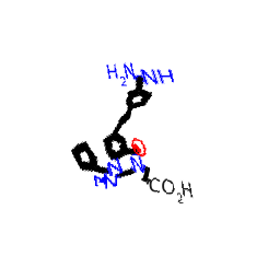 N=C(N)c1ccc(C#Cc2ccc3c(c2)C(=O)N(CCC(=O)O)Cc2nnc(-c4ccccc4)n2-3)cc1